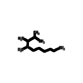 CCCCCCN(C)C(C)C(C)C